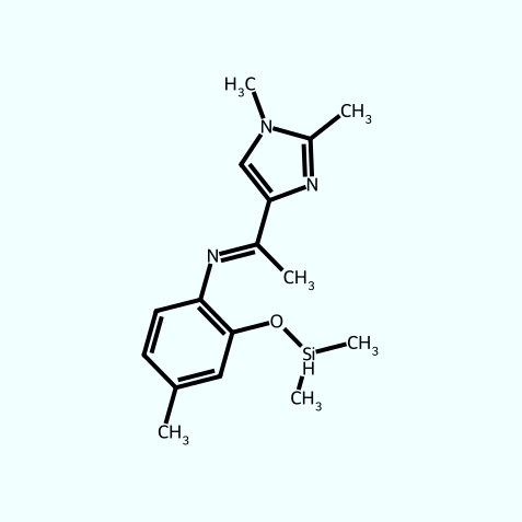 CC(=Nc1ccc(C)cc1O[SiH](C)C)c1cn(C)c(C)n1